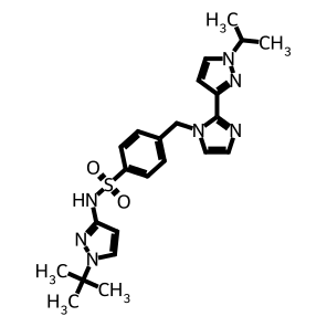 CC(C)n1ccc(-c2nccn2Cc2ccc(S(=O)(=O)Nc3ccn(C(C)(C)C)n3)cc2)n1